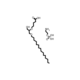 CCCCCCCCCCCCCCCCOCC(CO)OCCCCC(=O)O.NCCOP(=O)(O)O